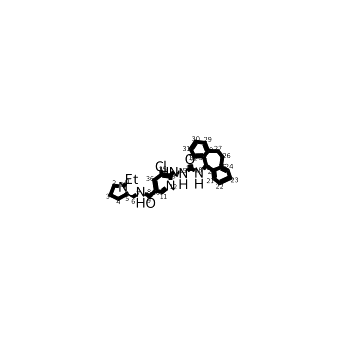 CCN1CCC[C@@H]1CNC(=O)c1cnc(NNC(=O)NC2c3ccccc3CCc3ccccc32)c(Cl)c1